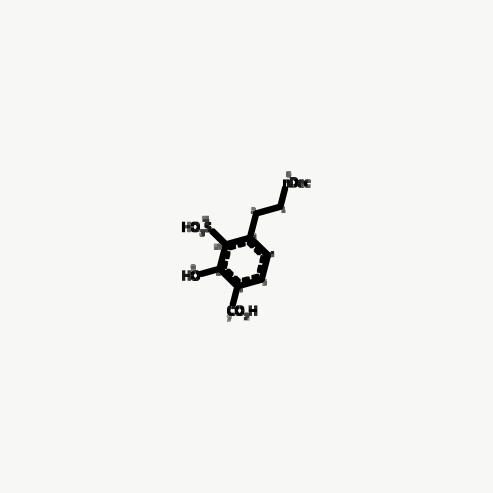 CCCCCCCCCCCCc1ccc(C(=O)O)c(O)c1S(=O)(=O)O